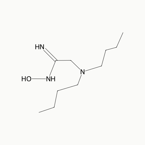 CCCCN(CCCC)CC(=N)NO